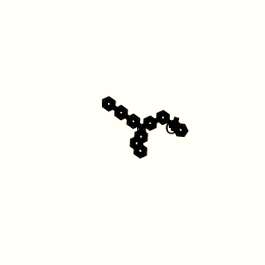 Cc1c(-c2cccc(-c3ccc(N(c4ccc(-c5ccc(-c6ccccc6)cc5)cc4)c4ccc5c(ccc6ccccc65)c4)cc3)c2)oc2ccccc12